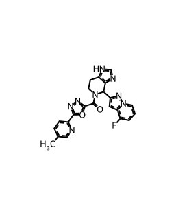 Cc1ccc(-c2nnc(C(=O)N3CCc4[nH]cnc4C3c3cc4c(F)cccn4n3)o2)nc1